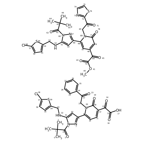 CC(C)(C)C(=O)n1nc(-c2ccc(C(=O)C(=O)O)c(=O)n2CC(=O)c2ccccc2)cc1NCc1ccc(Cl)s1.COC(=O)C(=O)c1cc(-c2cc(NCc3ccc(Cl)s3)n(C(=O)C(C)(C)C)n2)n(CC(=O)c2nccs2)c(=O)c1